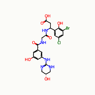 O=C(O)CC(NC(=O)CNC(=O)c1cc(O)cc(NC2=NC[C@@H](O)CN2)c1)c1cc(Cl)cc(Br)c1O